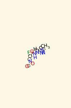 CC1(C)CCc2nnc(-c3cccc(NC(=O)c4cc5c(cc4F)CCN(C(=O)[C@@H]4CCOC4)C5)n3)n21